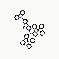 CC1(C)c2cc(N(c3ccc4c(c3)C(c3ccccc3)(c3ccccc3)c3ccccc3-4)c3cccc4c3-c3ccccc3C4(c3ccccc3)c3ccccc3)ccc2-c2ccc(-n3c4ccccc4c4ccccc43)cc21